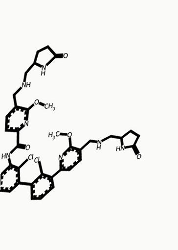 COc1nc(C(=O)Nc2cccc(-c3cccc(-c4ccc(CNCC5CCC(=O)N5)c(OC)n4)c3Cl)c2Cl)ccc1CNCC1CCC(=O)N1